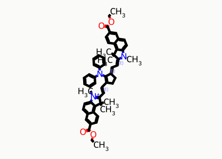 CCOC(=O)c1ccc2c3c(ccc2c1)[N+](C)=C(/C=C/C1=C(N(c2ccccc2)c2ccccc2)C(=C/C=C2/N(C)c4ccc5cc(C(=O)OCC)ccc5c4C2(C)C)/CC1)C3(C)C